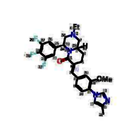 CCN1C[C@@H]2CC/C(=C\c3ccc(-n4cnc(C)c4)c(OC)c3)C(=O)N2[C@@H](c2cc(F)c(F)c(F)c2)C1